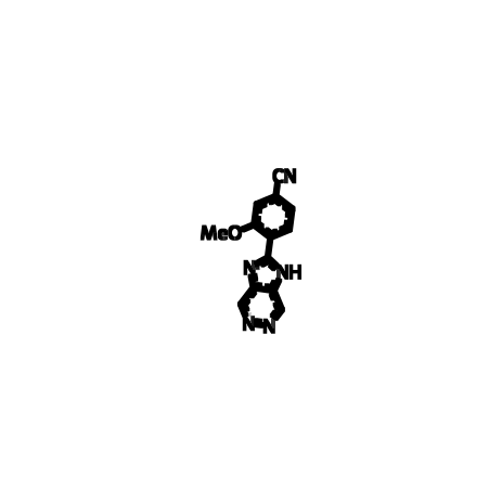 COc1cc(C#N)ccc1-c1nc2cnncc2[nH]1